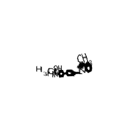 Cc1cn(Cc2ccc(-c3ccc(NC(C)O)cc3)cc2)c2ccccc12